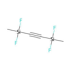 C[Si](F)(F)C#C[Si](C)(F)F